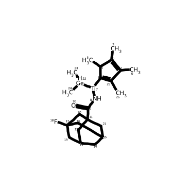 CC1=C(C)C(C)[C]([Ti]([NH]C(=O)C23CC4CC(CC(F)(C4)C2)C3)[GeH]([CH3])[CH3])=C1C